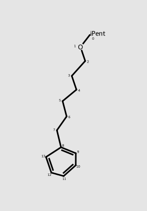 [CH2]C(CCC)OCCCCCCc1ccccc1